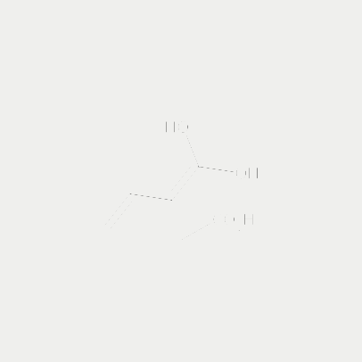 C=CC=C(O)O.CC(=O)O